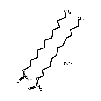 CCCCCCCCCCCCO[PH](=O)[O-].CCCCCCCCCCCCO[PH](=O)[O-].[Cu+2]